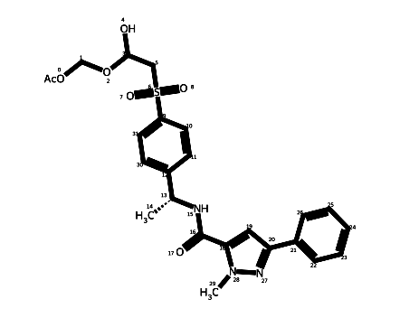 CC(=O)OCOC(O)CS(=O)(=O)c1ccc([C@@H](C)NC(=O)c2cc(-c3ccccc3)nn2C)cc1